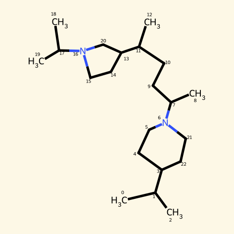 CC(C)C1CCN(C(C)CCC(C)C2CCN(C(C)C)C2)CC1